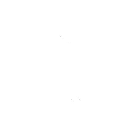 Cc1n[nH]cc1-c1ccc(-c2ccc(S(N)(=O)=O)cc2)cc1